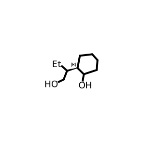 CCC(CO)[C@H]1CCCCC1O